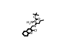 CCCC(=NCc1cc2ccccc2nc1Cl)N(N)C(=O)OC(C)(C)C